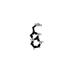 CC(C)(C)Cc1cn2cccnc2n1